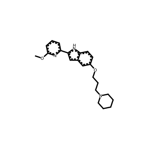 COc1cccc(-c2cc3cc(OCCCN4CCCCC4)ccc3[nH]2)n1